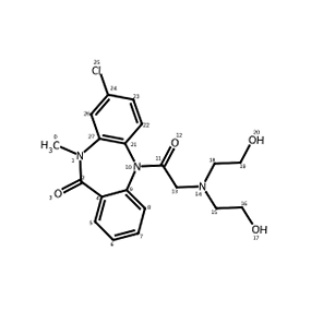 CN1C(=O)c2ccccc2N(C(=O)CN(CCO)CCO)c2ccc(Cl)cc21